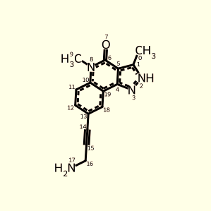 Cc1[nH]nc2c1c(=O)n(C)c1ccc(C#CCN)cc21